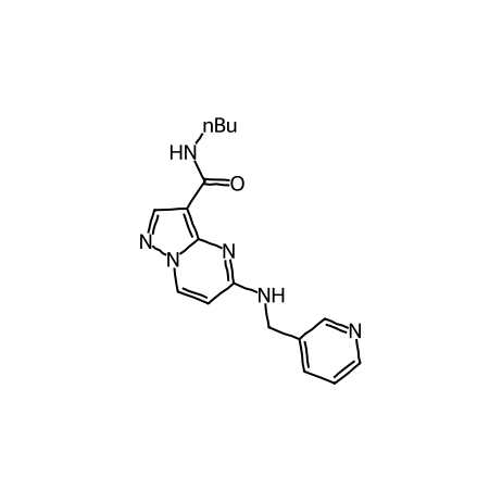 CCCCNC(=O)c1cnn2ccc(NCc3cccnc3)nc12